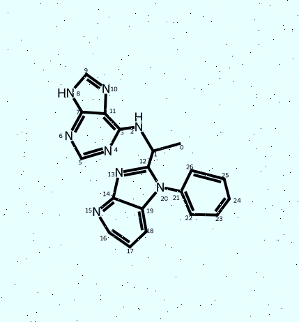 CC(Nc1ncnc2[nH]cnc12)c1nc2ncccc2n1-c1ccccc1